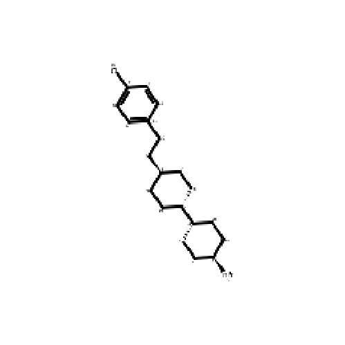 CCC[C@H]1CC[C@H]([C@H]2CC[C@H](CCc3ccc(Cl)cc3)CC2)CC1